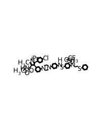 Cc1c(C(=O)N[S+](C)[O-])c(-c2cccc(N3CCN(c4ccc(NSc5ccc(NCCSc6ccccc6)c(S(=O)(=O)C(F)(F)F)c5)cc4)CC3)c2)c(-c2ccc(Cl)cc2)n1C(C)C